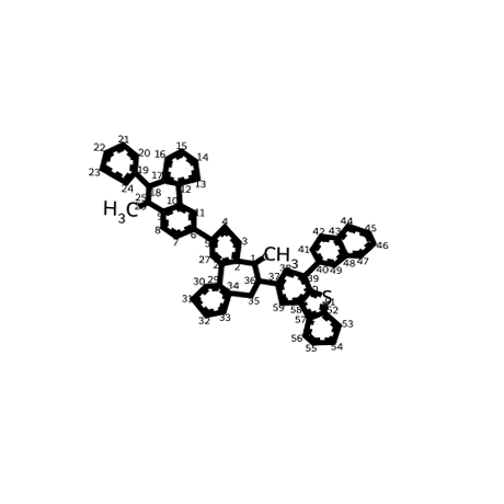 CC1c2ccc(-c3ccc4c(c3)-c3ccccc3C(c3ccccc3)C4C)cc2-c2ccccc2CC1c1cc(-c2ccc3ccccc3c2)c2sc3ccccc3c2c1